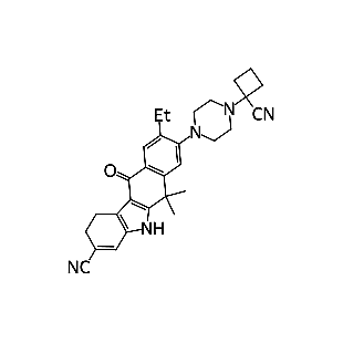 CCc1cc2c(cc1N1CCN(C3(C#N)CCC3)CC1)C(C)(C)c1[nH]c3c(c1C2=O)CCC(C#N)=C3